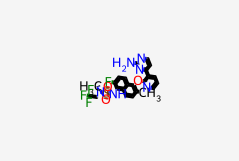 Cc1ccc2c(NS(=O)(=O)N(C)CC(F)(F)F)c(F)ccc2c1Oc1ncccc1-c1ccnc(N)n1